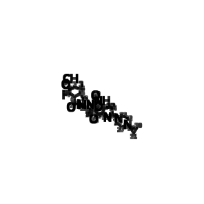 COc1ccc2c(c1F)C(=O)N(C[C@](C=O)(NC(N)=O)c1cc3nc(N4CCN(C5CC5)CC4)ccc3o1)C2